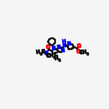 C/C=C(/C(=O)N(C)C)N(c1ccnc(Nc2ccc(C(=O)OC)cn2)n1)C1CCCCCC1